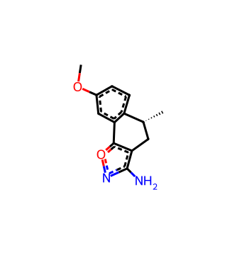 COc1ccc2c(c1)-c1onc(N)c1C[C@H]2C